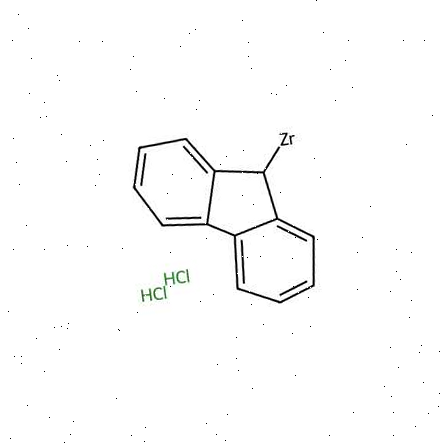 Cl.Cl.[Zr][CH]1c2ccccc2-c2ccccc21